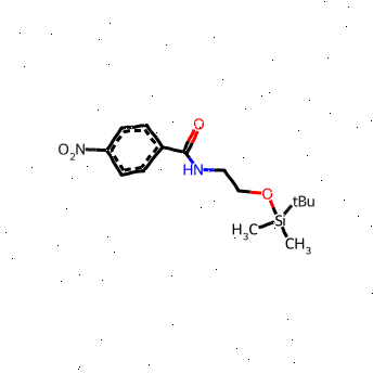 CC(C)(C)[Si](C)(C)OCCNC(=O)c1ccc([N+](=O)[O-])cc1